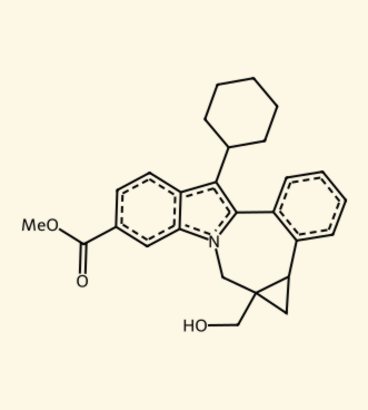 COC(=O)c1ccc2c(C3CCCCC3)c3n(c2c1)CC1(CO)CC1c1ccccc1-3